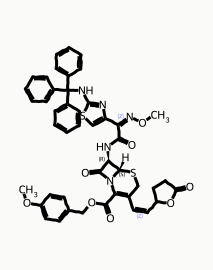 CO/N=C(\C(=O)N[C@@H]1C(=O)N2C(C(=O)OCc3ccc(OC)cc3)=C(/C=C\C3CCC(=O)O3)CS[C@@H]12)c1csc(NC(c2ccccc2)(c2ccccc2)c2ccccc2)n1